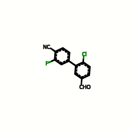 N#Cc1ccc(-c2cc(C=O)ccc2Cl)cc1F